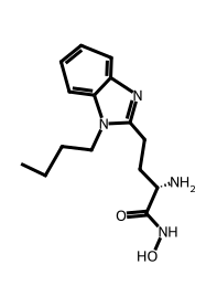 CCCCn1c(CC[C@H](N)C(=O)NO)nc2ccccc21